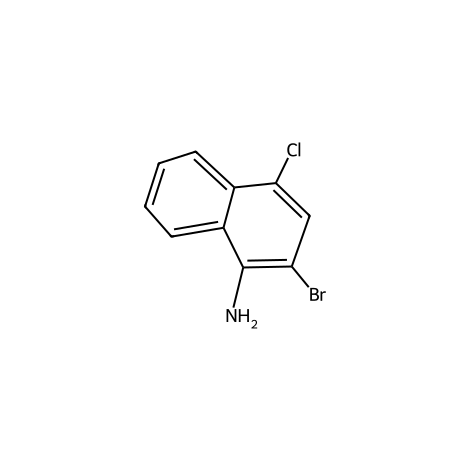 Nc1c(Br)cc(Cl)c2ccccc12